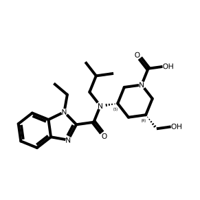 CCn1c(C(=O)N(CC(C)C)[C@H]2C[C@@H](CO)CN(C(=O)O)C2)nc2ccccc21